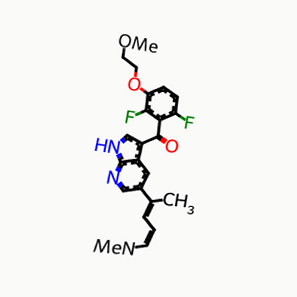 CN/C=C\C=C(/C)c1cnc2[nH]cc(C(=O)c3c(F)ccc(OCCOC)c3F)c2c1